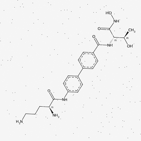 C[C@@H](O)[C@H](NC(=O)c1ccc(-c2ccc(NC(=O)[C@@H](N)CCCN)cc2)cc1)C(=O)NO